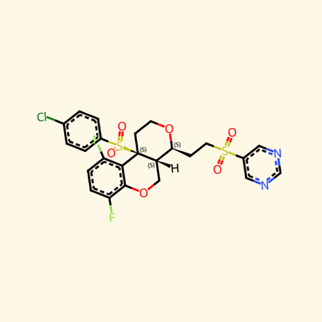 O=S(=O)(CC[C@@H]1OCC[C@@]2(S(=O)(=O)c3ccc(Cl)cc3)c3c(F)ccc(F)c3OC[C@@H]12)c1cncnc1